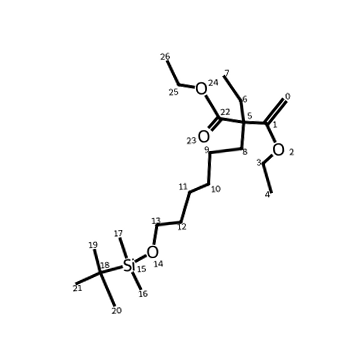 C=C(OCC)C(CC)(CCCCCCO[Si](C)(C)C(C)(C)C)C(=O)OCC